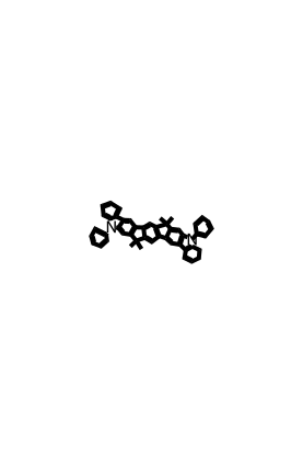 CC1(C)c2cc3c(cc2-c2cc4c5c(n(-c6ccccc6)c4cc21)CCC=C5)C(C)(C)c1cc2c(cc1-3)c1ccccc1n2-c1ccccc1